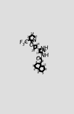 O=C(Cc1cccc2ccccc12)Nc1cc([C@H]2C[C@@H](Oc3ncccc3C(F)(F)F)C2)[nH]n1